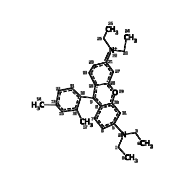 CCN(CC)c1ccc2c(-c3ccc(C)cc3C)c3ccc(=[N+](CC)CC)cc-3oc2c1